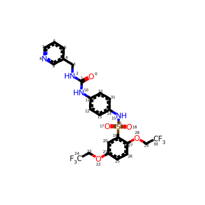 O=C(NCc1cccnc1)Nc1ccc(NS(=O)(=O)c2cc(OCC(F)(F)F)ccc2OCC(F)(F)F)cc1